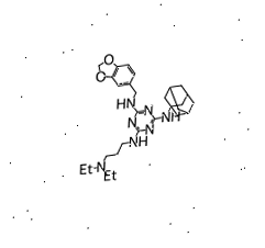 CCN(CC)CCCNc1nc(NCc2ccc3c(c2)OCO3)nc(NC23CC4CC(CC(C4)C2)C3)n1